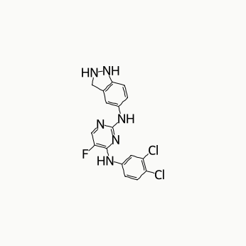 Fc1cnc(Nc2ccc3c(c2)CNN3)nc1Nc1ccc(Cl)c(Cl)c1